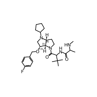 CNC(C)C(=O)NC(C(=O)N1CC[C@@H]2[C@H]1[C@@H](OCc1ccc(F)cc1)CN2C1CCCC1)C(C)(C)C